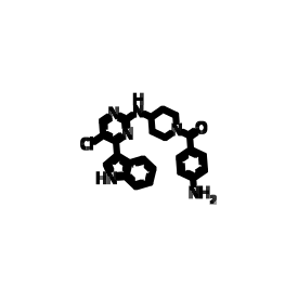 Nc1ccc(C(=O)N2CCC(Nc3ncc(Cl)c(-c4c[nH]c5ccccc45)n3)CC2)cc1